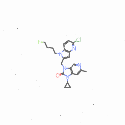 Cc1cc2c(cn1)n(Cc1cc3nc(Cl)ccc3n1CCCCF)c(=O)n2C1CC1